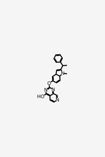 CC(C1=CC2C=C(Oc3nc(O)c4ccncc4n3)C=CC2N1C)c1ccccc1